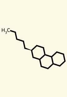 CCCCC[C@H]1CCC2C(CCC3CCCCC32)C1